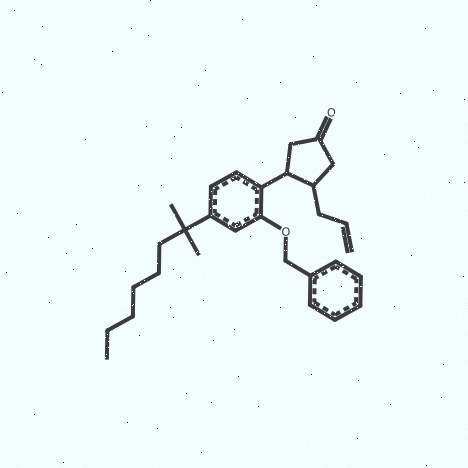 C=CCC1CC(=O)CC1c1ccc(C(C)(C)CCCCCC)cc1OCc1ccccc1